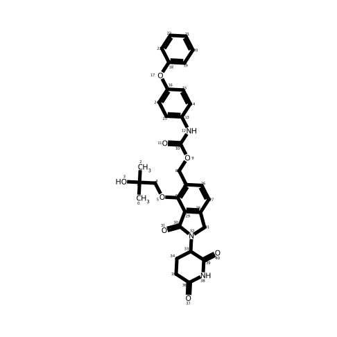 CC(C)(O)COc1c(COC(=O)Nc2ccc(Oc3ccccc3)cc2)ccc2c1C(=O)N(C1CCC(=O)NC1=O)C2